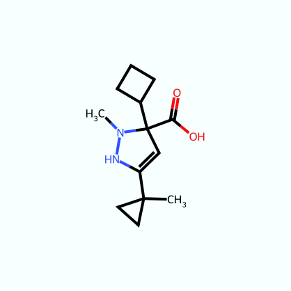 CN1NC(C2(C)CC2)=CC1(C(=O)O)C1CCC1